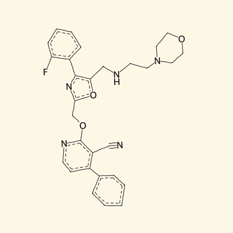 N#Cc1c(-c2ccccc2)ccnc1OCc1nc(-c2ccccc2F)c(CNCCN2CCOCC2)o1